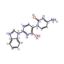 Nc1ccn(-c2cnc(-n3cnc4ccccc43)nc2O)c(=O)n1